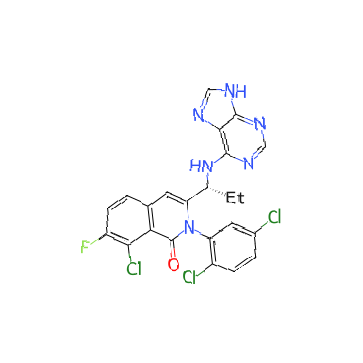 CC[C@@H](Nc1ncnc2[nH]cnc12)c1cc2ccc(F)c(Cl)c2c(=O)n1-c1cc(Cl)ccc1Cl